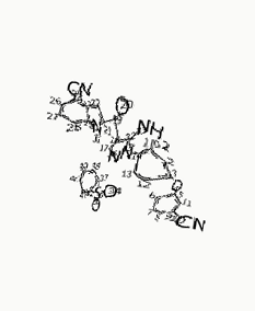 Cc1cc(Oc2cccc(C#N)c2)ccc1-n1ncc(C(=O)c2cc3c(C#N)cccc3n2C)c1N.O=S1(=O)c2ccccc21